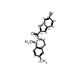 Cc1ccc2c(c1)CCN(C(=O)c1cc3ccc(Br)cn3n1)N2C